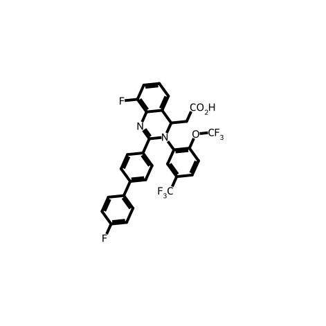 O=C(O)CC1c2cccc(F)c2N=C(c2ccc(-c3ccc(F)cc3)cc2)N1c1cc(C(F)(F)F)ccc1OC(F)(F)F